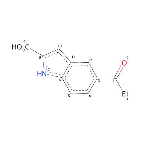 CCC(=O)c1ccc2[nH]c(C(=O)O)cc2c1